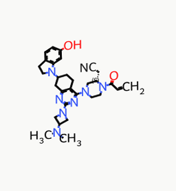 C=CC(=O)N1CCN(c2nc(N3CC(N(C)C)C3)nc3c2CCC(N2CCc4ccc(O)cc42)C3)C[C@@H]1CC#N